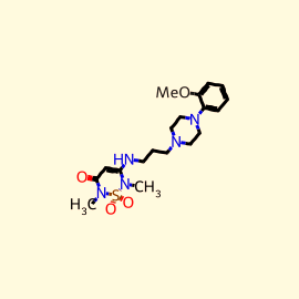 COc1ccccc1N1CCN(CCCNC2=CC(=O)N(C)S(=O)(=O)N2C)CC1